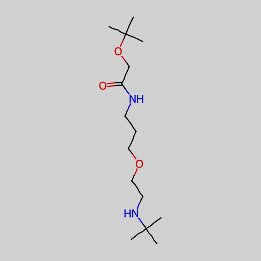 CC(C)(C)NCCOCCCNC(=O)COC(C)(C)C